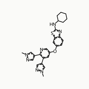 Cn1cc(-c2cc(Oc3ccc4nc(NC5CCCCC5)sc4c3)cnc2-c2cnn(C)c2)cn1